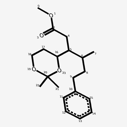 COC(=O)CC(C(C)CCc1ccccc1)C1CCOC(C)(C)O1